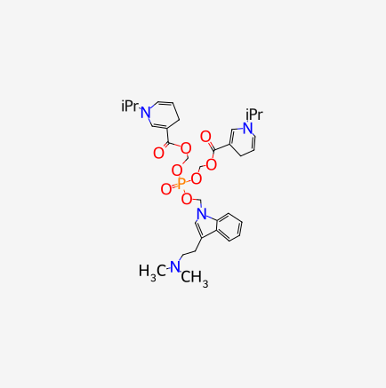 CC(C)N1C=CCC(C(=O)OCOP(=O)(OCOC(=O)C2=CN(C(C)C)C=CC2)OCn2cc(CCN(C)C)c3ccccc32)=C1